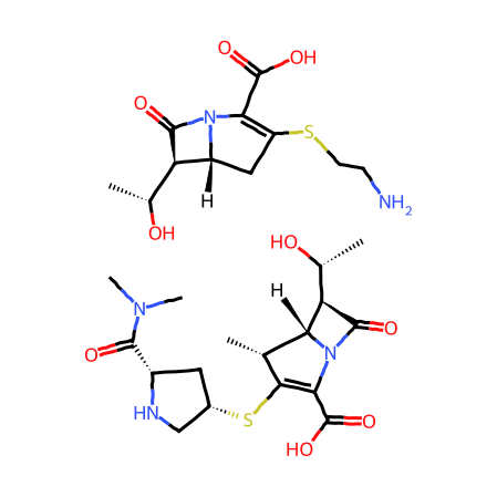 C[C@@H](O)[C@H]1C(=O)N2C(C(=O)O)=C(SCCN)C[C@H]12.C[C@@H](O)[C@H]1C(=O)N2C(C(=O)O)=C(S[C@@H]3CN[C@H](C(=O)N(C)C)C3)[C@H](C)[C@H]12